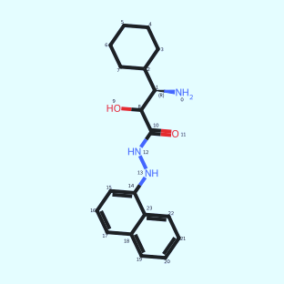 N[C@H](C1CCCCC1)C(O)C(=O)NNc1cccc2ccccc12